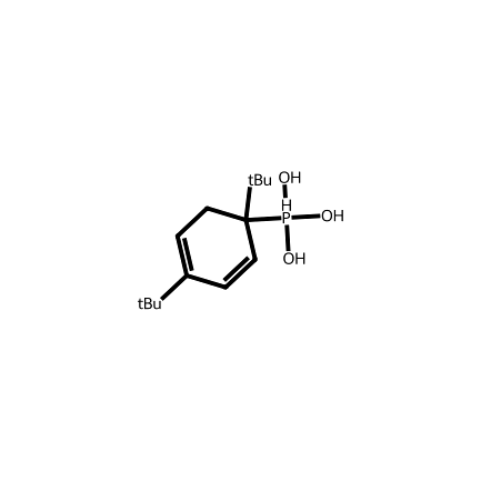 CC(C)(C)C1=CCC(C(C)(C)C)([PH](O)(O)O)C=C1